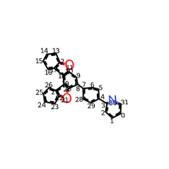 c1ccc(-c2ccc(-c3cc4oc5ccccc5c4c4c3oc3ccccc34)cc2)nc1